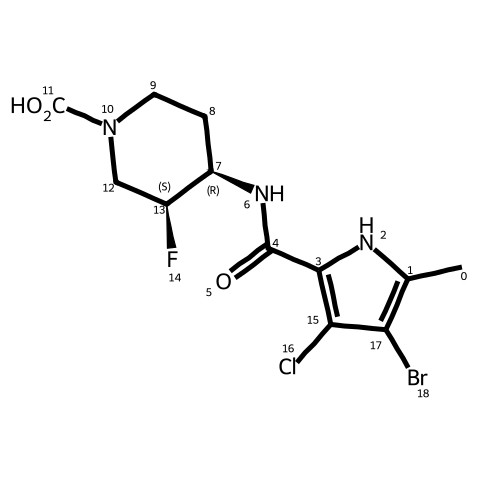 Cc1[nH]c(C(=O)N[C@@H]2CCN(C(=O)O)C[C@@H]2F)c(Cl)c1Br